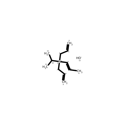 C=CC[N+](C=CC)(CC=C)C(C)C.[OH-]